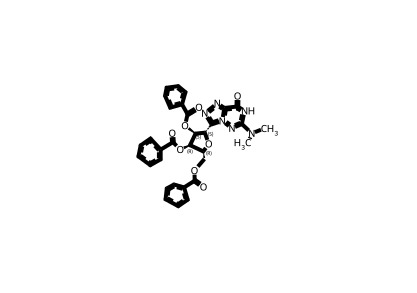 CN(C)c1nn2c([C@@H]3O[C@H](COC(=O)c4ccccc4)[C@@H](OC(=O)c4ccccc4)[C@H]3OC(=O)c3ccccc3)nnc2c(=O)[nH]1